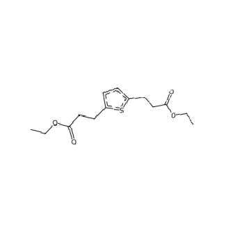 CCOC(=O)CCc1ccc(CCC(=O)OCC)s1